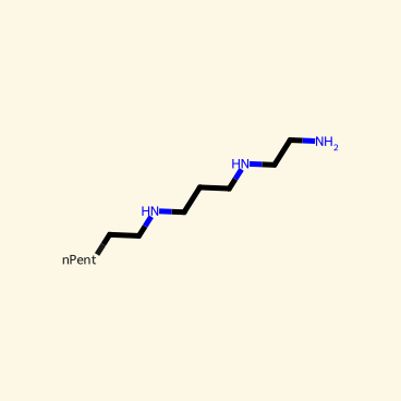 [CH2]CCCCCCNCCCNCCN